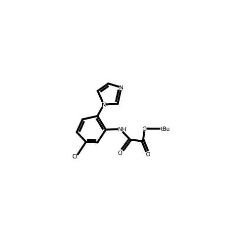 CC(C)(C)OC(=O)C(=O)Nc1cc(Cl)ccc1-n1ccnc1